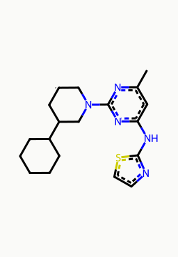 Cc1cc(Nc2nccs2)nc(N2C[CH]CC(C3CCCCC3)C2)n1